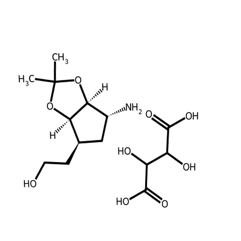 CC1(C)O[C@@H]2[C@H](CCO)C[C@@H](N)[C@@H]2O1.O=C(O)C(O)C(O)C(=O)O